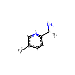 CC[C@@H](N)c1ccc(C(F)(F)F)cn1